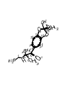 BCN[C@@](B)(C)C(=O)c1ccc2c(c1)OC(B)(O)O2